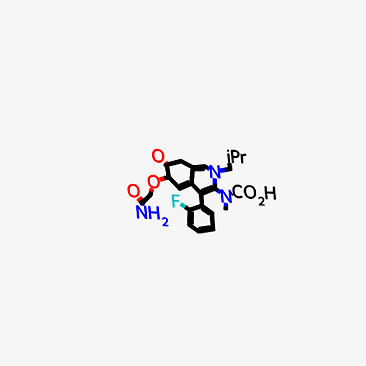 CC(C)CN1C=C2CC(=O)C(OCC(N)=O)C=C2C(c2ccccc2F)=C1N(C)C(=O)O